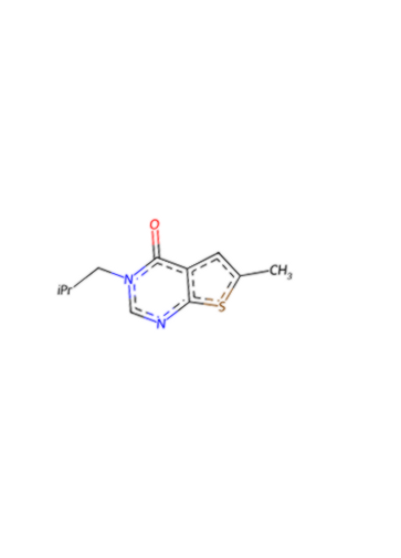 Cc1cc2c(=O)n(CC(C)C)cnc2s1